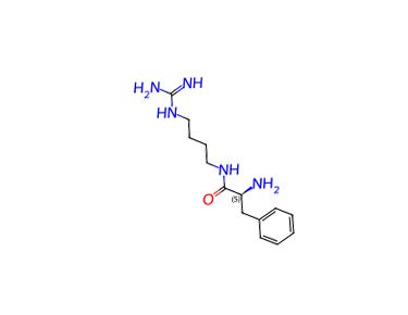 N=C(N)NCCCCNC(=O)[C@@H](N)Cc1ccccc1